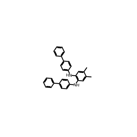 Cc1cc(Nc2ccc(-c3ccccc3)cc2)c(Nc2ccc(-c3ccccc3)cc2)cc1C